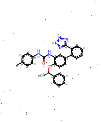 CCC[C@@H](Oc1ccc(-c2ccccc2-c2nnn[nH]2)cc1NC(=O)Nc1ccc(C)cc1)c1ccccc1